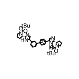 CC(C)(C)OC(=O)N1CCC[C@H]1c1ncc(-c2cccc(C34CCC(c5cnc([C@@H]6CCCN6C(=O)OC(C)(C)C)[nH]5)(CC3)CC4)c2)[nH]1